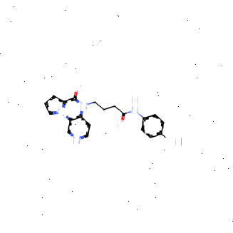 Cc1ccc(NC(=O)CCCn2c(=O)c3cccn3c3cnccc32)cc1